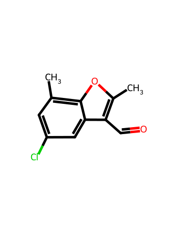 Cc1oc2c(C)cc(Cl)cc2c1C=O